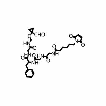 O=CC1(OCNC(=O)CNC(=O)C(Cc2ccccc2)NC(=O)CNC(=O)CNC(=O)CCCCCN2C(=O)C=CC2=O)CC1